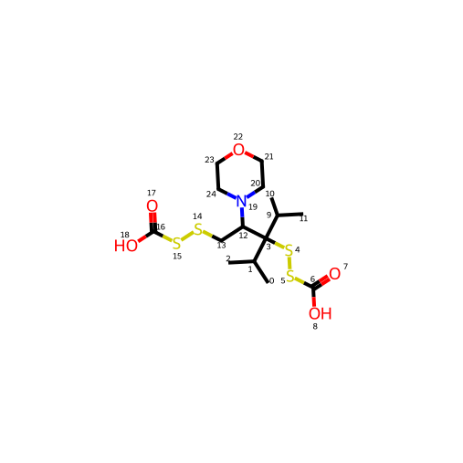 CC(C)C(SSC(=O)O)(C(C)C)C(CSSC(=O)O)N1CCOCC1